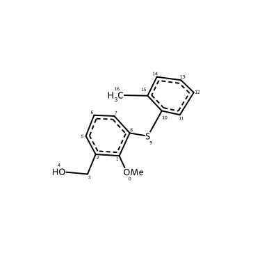 COc1c(CO)cccc1Sc1ccccc1C